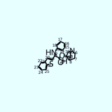 O=C(O[C@H]1CN2CCC1CC2)C(Nc1ccccc1)c1cc2ccccc2s1